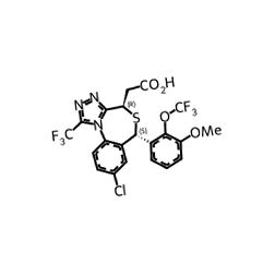 COc1cccc([C@H]2S[C@H](CC(=O)O)c3nnc(C(F)(F)F)n3-c3ccc(Cl)cc32)c1OC(F)(F)F